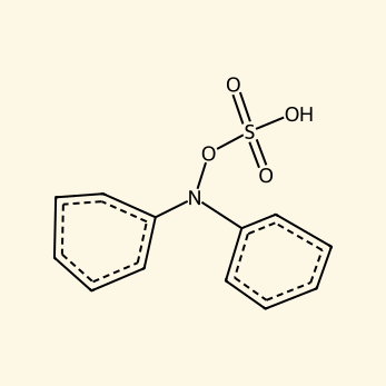 O=S(=O)(O)ON(c1ccccc1)c1ccccc1